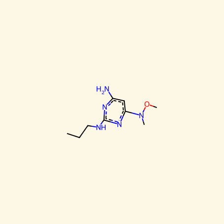 CCCNc1nc(N)cc(N(C)OC)n1